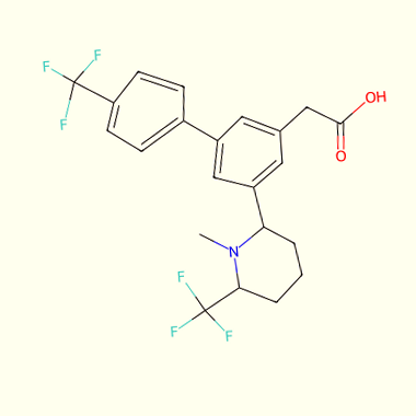 CN1C(c2cc(CC(=O)O)cc(-c3ccc(C(F)(F)F)cc3)c2)CCCC1C(F)(F)F